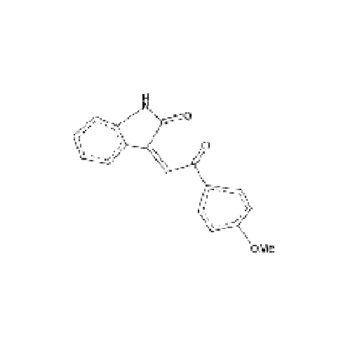 COc1ccc(C(=O)C=C2C(=O)Nc3ccccc32)cc1